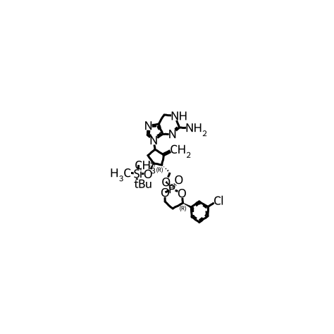 C=C1C(n2cnc3c2N=C(N)NC3)C[C@H](O[Si](C)(C)C(C)(C)C)[C@H]1CO[P@]1(=O)OCC[C@H](c2cccc(Cl)c2)O1